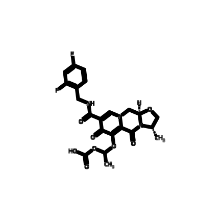 CC(OC(=O)O)Oc1c2n(cc(C(=O)NCc3ccc(F)cc3F)c1=O)C[C@H]1OC[C@H](C)N1C2=O